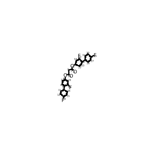 O=C(CC(=O)Oc1ccc(-c2ccc(F)cc2)c(F)c1)Oc1ccc(-c2ccc(F)cc2)c(F)c1